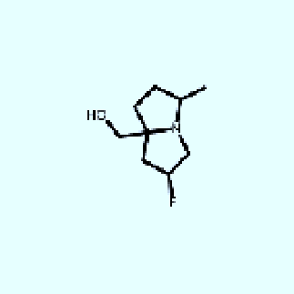 CC1CCC2(CO)C[C@H](F)CN12